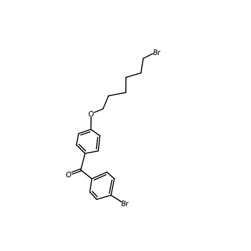 O=C(c1ccc(Br)cc1)c1ccc(OCCCCCCBr)cc1